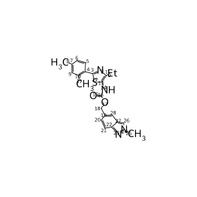 CCc1nc(-c2ccc(C)cc2C)sc1NC(=O)OCc1ccc2nn(C)cc2c1